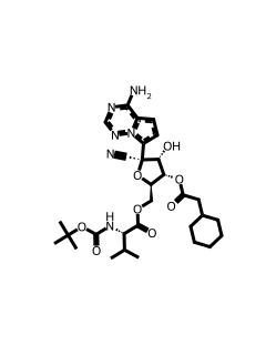 CC(C)[C@H](NC(=O)OC(C)(C)C)C(=O)OC[C@H]1O[C@@](C#N)(c2ccc3c(N)ncnn23)[C@H](O)[C@@H]1OC(=O)CC1CCCCC1